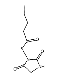 CCCCC(=O)SN1C(=O)CNC1=O